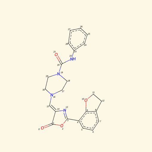 O=C1OC(c2cccc3c2OCC3)=NC1=CN1CCN(C(=O)Nc2ccccc2)CC1